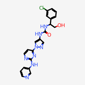 O=C(Nc1cnn(-c2ccnc(Nc3cccnc3)n2)c1)NC(CO)c1cccc(Cl)c1